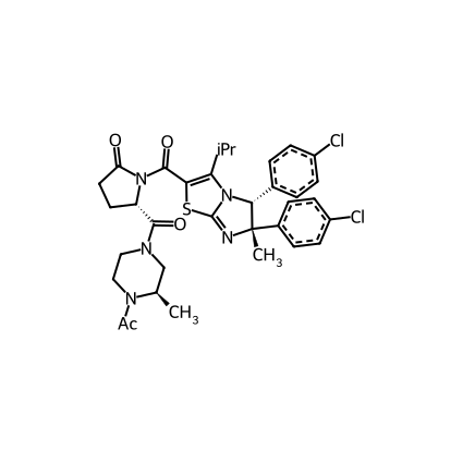 CC(=O)N1CCN(C(=O)[C@@H]2CCC(=O)N2C(=O)C2=C(C(C)C)N3C(=N[C@@](C)(c4ccc(Cl)cc4)[C@H]3c3ccc(Cl)cc3)S2)C[C@H]1C